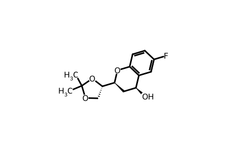 CC1(C)OC[C@@H]([C@@H]2C[C@H](O)c3cc(F)ccc3O2)O1